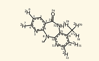 [2H]c1cc2c(nc1[2H])N(C)c1nc([2H])c([2H])c(C([2H])([2H])[2H])c1NC2=O